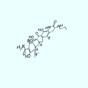 CCCNC1Cc2c(F)c3c(c(O)c2NC1=O)C(=O)C1=C(O)[C@@]2(O)C(=O)C(C(N)=O)=C(O)[C@H](N(C)C)[C@H]2C[C@H]1C3